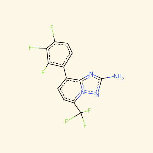 Nc1nc2c(-c3ccc(F)c(F)c3F)ccc(C(F)(F)F)n2n1